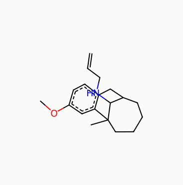 C=CCNC1C2CCCCC1(C)c1cc(OC)ccc1C2